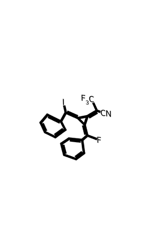 N#C/C(=C1/C(=C(I)c2ccccc2)/C1=C(/F)c1ccccc1)C(F)(F)F